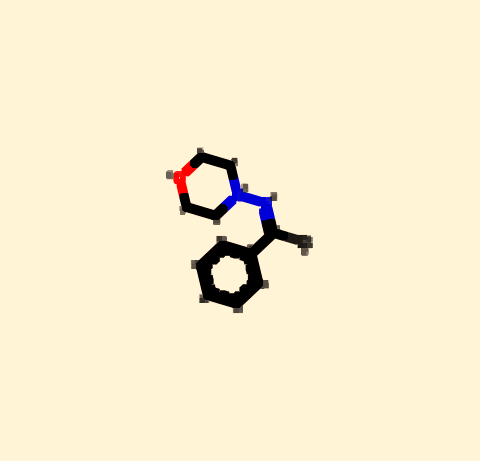 CCC(=NN1CCOCC1)c1ccccc1